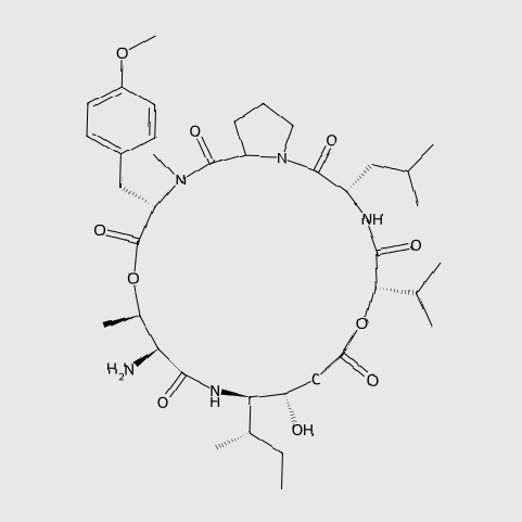 CC[C@H](C)[C@H]1NC(=O)[C@@H](N)[C@@H](C)OC(=O)[C@H](Cc2ccc(OC)cc2)N(C)C(=O)C2CCCN2C(=O)[C@H](CC(C)C)NC(=O)[C@H](C(C)C)OC(=O)C[C@@H]1O